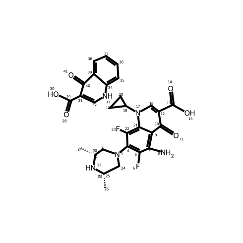 C[C@@H]1CN(c2c(F)c(N)c3c(=O)c(C(=O)O)cn(C4CC4)c3c2F)C[C@H](C)N1.O=C(O)c1c[nH]c2ccccc2c1=O